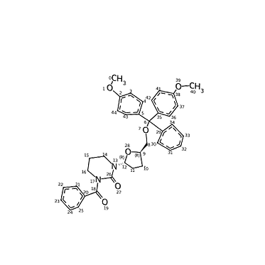 COc1ccc(C(OC[C@H]2[CH]C[C@H](N3CCCN(C(=O)c4ccccc4)C3=O)O2)(c2ccccc2)c2ccc(OC)cc2)cc1